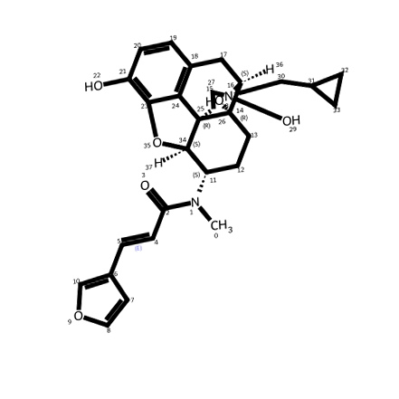 CN(C(=O)/C=C/c1ccoc1)[C@H]1CC[C@]2(O)[C@@H]3Cc4ccc(O)c5c4[C@]2(CC[N+]3(O)CC2CC2)[C@@H]1O5